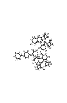 c1ccc(-c2ccc(-c3ccc(N(c4ccc5c(c4)-c4c(ccc6ccccc46)C54c5ccccc5Oc5ccccc54)c4cccc5c4-c4ccccc4C54c5ccccc5Oc5ccccc54)cc3)cc2)cc1